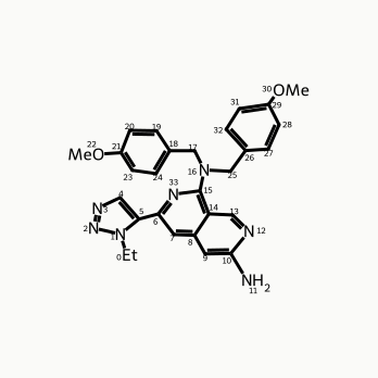 CCn1nncc1-c1cc2cc(N)ncc2c(N(Cc2ccc(OC)cc2)Cc2ccc(OC)cc2)n1